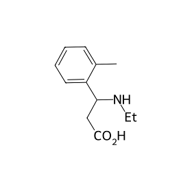 CCNC(CC(=O)O)c1ccccc1C